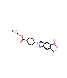 CCOC(=O)[C@H]1CC[C@H](n2cc3cc([N+](=O)[O-])c(C(F)F)cc3n2)CC1